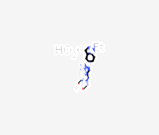 CCn1cc(C(=O)O)c2cc(-n3cc(CN4CCOCC4)nn3)ccc21